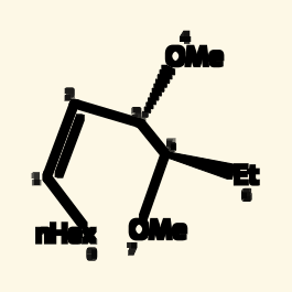 CCCCCC/C=C\[C@H](OC)[C@@H](CC)OC